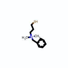 C[N+](C)(CCCS)Cc1ccccc1